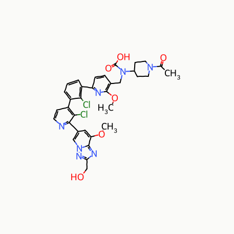 COc1nc(-c2cccc(-c3ccnc(-c4cc(OC)c5nc(CO)nn5c4)c3Cl)c2Cl)ccc1CN(C(=O)O)C1CCN(C(C)=O)CC1